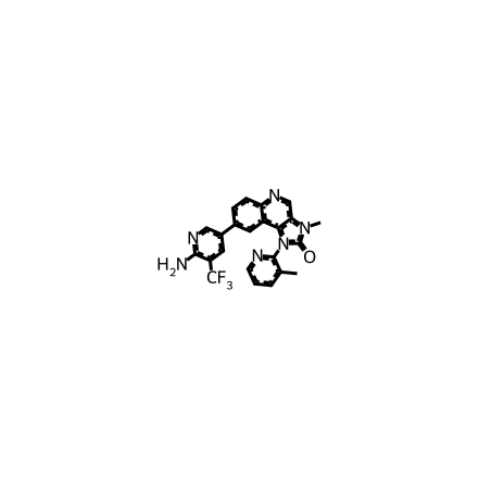 Cc1cccnc1-n1c(=O)n(C)c2cnc3ccc(-c4cnc(N)c(C(F)(F)F)c4)cc3c21